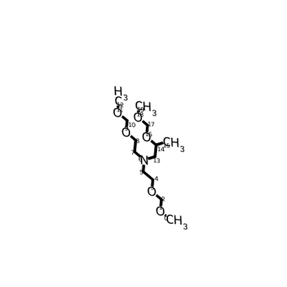 COCOCCN(CCOCOC)CC(C)OCOC